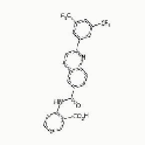 O=C(Nc1ccccc1C(=O)O)c1ccc2nc(-c3cc(C(F)(F)F)cc(C(F)(F)F)c3)ccc2c1